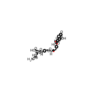 C[C@]12C=CC(=O)C=C1CC[C@@H]1[C@@H]2[C@@H](O)C[C@@]2(C)[C@H]1C[C@H]1O[C@@H](c3ccc(CC45CC(NC(=O)OCc6ccc(NC(=O)[C@H](CCC(=O)O)NC(=O)CNC(=O)CON)cc6)(C4)C5)cc3)O[C@]12C(=O)CO